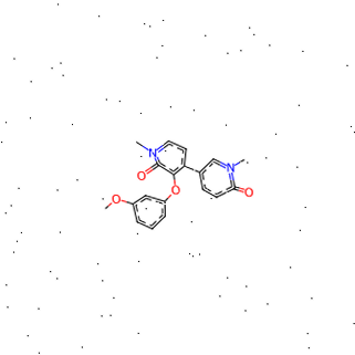 COc1cccc(Oc2c(-c3ccc(=O)n(C)c3)ccn(C)c2=O)c1